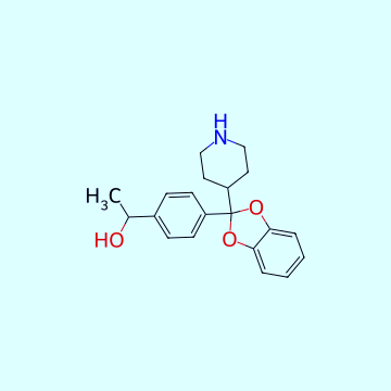 CC(O)c1ccc(C2(C3CCNCC3)Oc3ccccc3O2)cc1